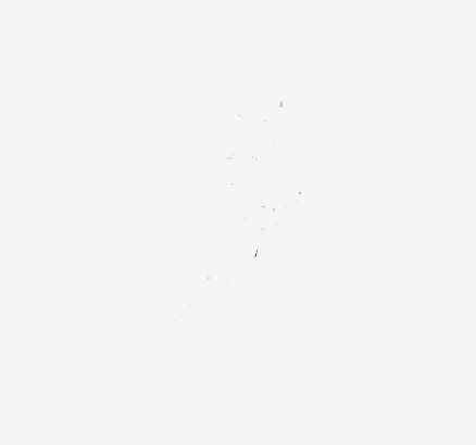 N#C[C@@]1(c2ccc3c(N)ncnn23)O[C@H](COC(=O)OC2CCC2)[C@@H](O)[C@H]1O